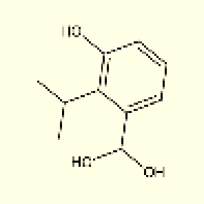 CC(C)c1c(O)cccc1C(O)O